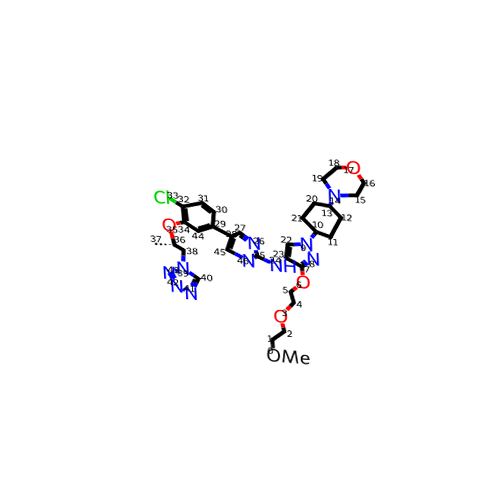 COCCOCCOc1nn(C2CCC(N3CCOCC3)CC2)cc1Nc1ncc(-c2ccc(Cl)c(O[C@@H](C)Cn3cnnn3)c2)cn1